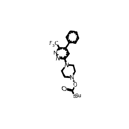 CC(C)(C)C(=O)ON1CCN(c2cc(-c3ccccc3)c(C(F)(F)F)nn2)CC1